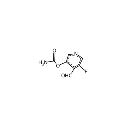 NC(=O)Oc1cncc(F)c1C=O